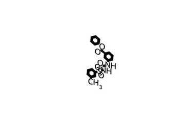 Cc1cccc(S(=O)(=O)NC(=O)Nc2cccc(C(=O)Oc3ccccc3)c2)c1